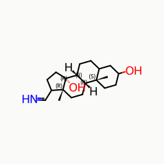 C[C@]12CCC(O)CC1CC[C@@H]1[C@H]2CC[C@]2(C)C(C=N)CC[C@@]12O